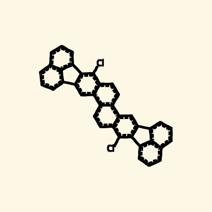 Clc1c2c(cc3c1ccc1c4cc5c(c(Cl)c4ccc31)-c1cccc3cccc-5c13)-c1cccc3cccc-2c13